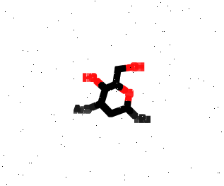 CCCCC1CC(OC(C)=O)C(O)C(CO)O1